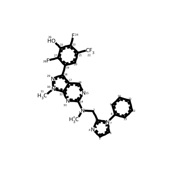 CN(Cc1nccn1-c1ccccc1)c1ncc2c(-c3cc(C(F)(F)F)c(F)c(O)c3F)nn(C)c2n1